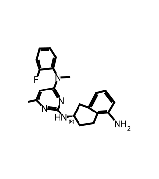 Cc1cc(N(C)c2ccccc2F)nc(N[C@@H]2CCc3c(N)cccc3C2)n1